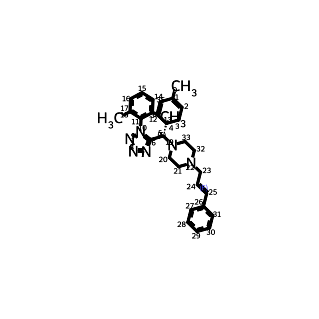 CC1=CCC([C@@H](c2nnnn2-c2c(C)cccc2C)N2CCN(C/C=C/c3ccccc3)CC2)C=C1